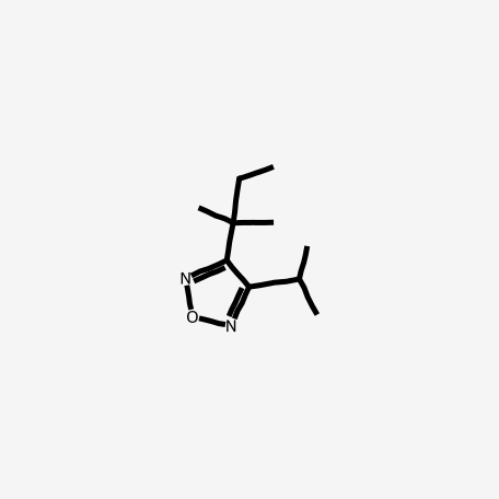 CCC(C)(C)c1nonc1C(C)C